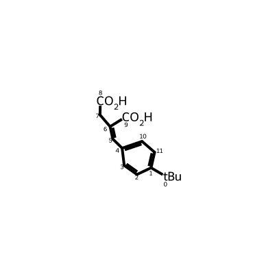 CC(C)(C)c1ccc(/C=C(/CC(=O)O)C(=O)O)cc1